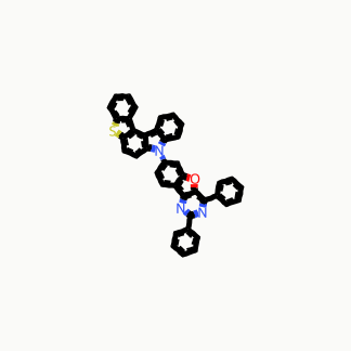 c1ccc(-c2nc(-c3ccccc3)c3oc4cc(-n5c6ccccc6c6c7c(ccc65)sc5ccccc57)ccc4c3n2)cc1